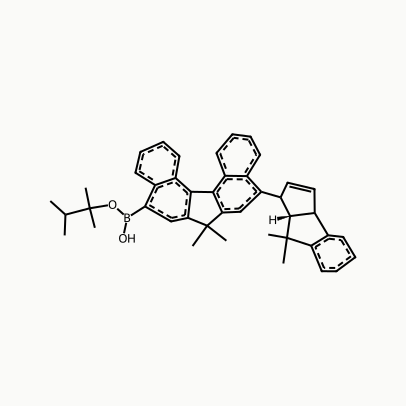 CC(C)C(C)(C)OB(O)c1cc2c(c3ccccc13)-c1c(cc(C3C=CC4c5ccccc5C(C)(C)[C@@H]43)c3ccccc13)C2(C)C